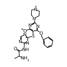 COc1nc(N2CCN(C)CC2)nc(OCc2ccccc2)c1Sc1ncnc(NC(=O)C(C)N)n1